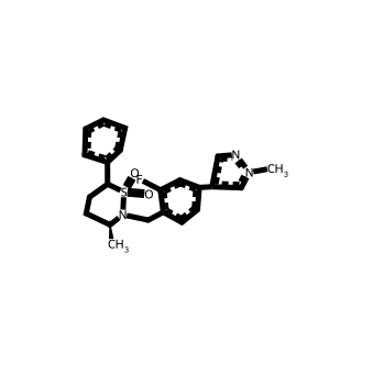 C[C@H]1CCC(c2ccccc2)S(=O)(=O)N1Cc1ccc(-c2cnn(C)c2)cc1F